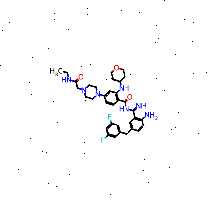 CCNC(=O)CN1CCN(c2ccc(C(=O)NC(=N)c3cc(Cc4cc(F)cc(F)c4)ccc3N)c(NC3CCOCC3)c2)CC1